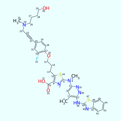 Cc1cc(N(C)c2nc(C(=O)O)c(CCCOc3ccc(C#CCN(C)CCCCO)cc3F)s2)nnc1Nc1nc2ccccc2s1